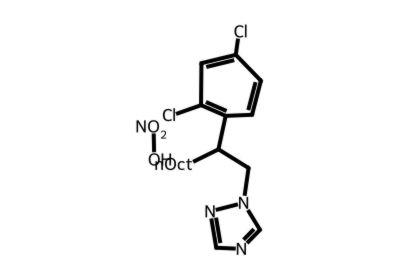 CCCCCCCCC(Cn1cncn1)c1ccc(Cl)cc1Cl.O=[N+]([O-])O